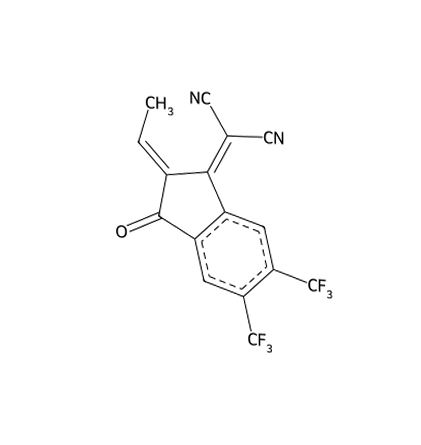 C/C=C1/C(=O)c2cc(C(F)(F)F)c(C(F)(F)F)cc2C1=C(C#N)C#N